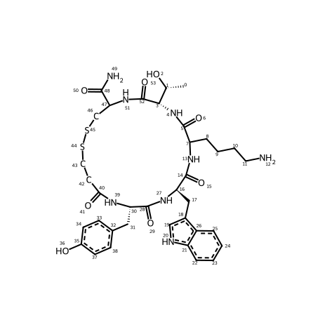 C[C@@H](O)[C@@H]1NC(=O)C(CCCCN)NC(=O)[C@@H](Cc2c[nH]c3ccccc23)NC(=O)[C@H](Cc2ccc(O)cc2)NC(=O)CCSSCC(C(N)=O)NC1=O